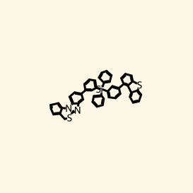 c1ccc([Si](c2ccccc2)(c2cccc(-c3ccc4c(c3)nc3n4-c4ccccc4CS3)c2)c2cccc(-c3cccc4sc5ccccc5c34)c2)cc1